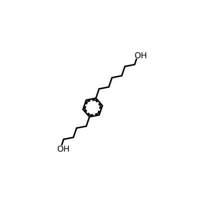 OCCCCCCc1ccc(CCCCO)cc1